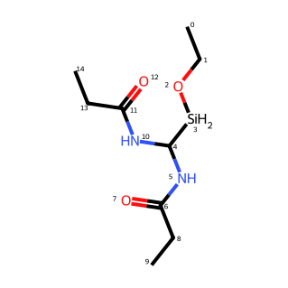 CCO[SiH2]C(NC(=O)CC)NC(=O)CC